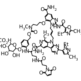 CCc1nc(C)oc1C(=O)Nc1nc2cc(C(N)=O)cc(OCCCN(C)C(=O)OCc3ccc(O[C@@H]4O[C@H](C(=O)O)[C@@H](O)[C@H](O)[C@H]4O)c(NC(=O)CCNC(=O)CCN4C(=O)C=CC4=O)c3)c2n1C/C=C/Cn1c2nc(-c3cc(C)nn3CC)ncc2c2cc(C(N)=O)nc(C)c21